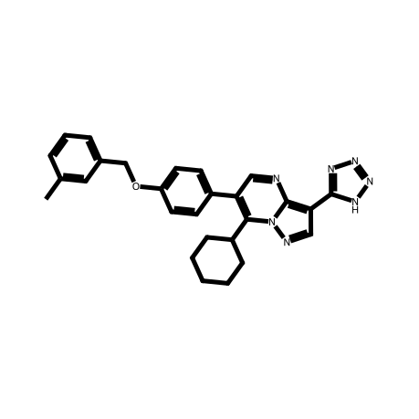 Cc1cccc(COc2ccc(-c3cnc4c(-c5nnn[nH]5)cnn4c3C3CCCCC3)cc2)c1